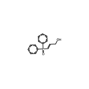 O=P(/C=C/CO)(c1ccccc1)c1ccccc1